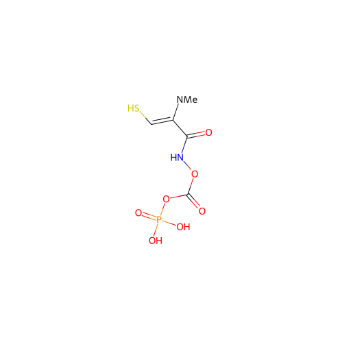 CN/C(=C\S)C(=O)NOC(=O)OP(=O)(O)O